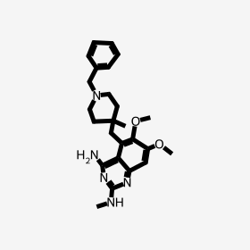 CNc1nc(N)c2c(CC3(C)CCN(Cc4ccccc4)CC3)c(OC)c(OC)cc2n1